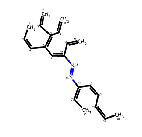 C=CC(C=C)=C(/C=C\C)/C=C(\C=C)N=NC(/C=C\C=C/C)=C/C